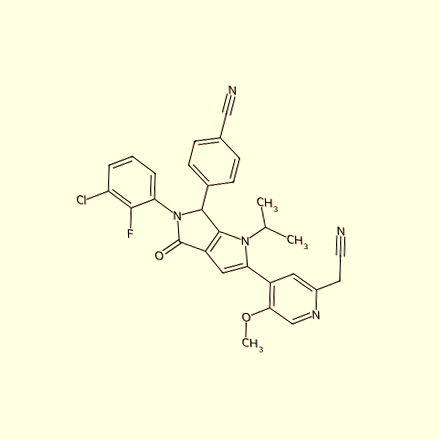 COc1cnc(CC#N)cc1-c1cc2c(n1C(C)C)C(c1ccc(C#N)cc1)N(c1cccc(Cl)c1F)C2=O